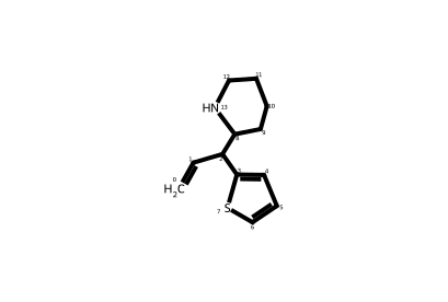 C=CC(c1cccs1)C1CCCCN1